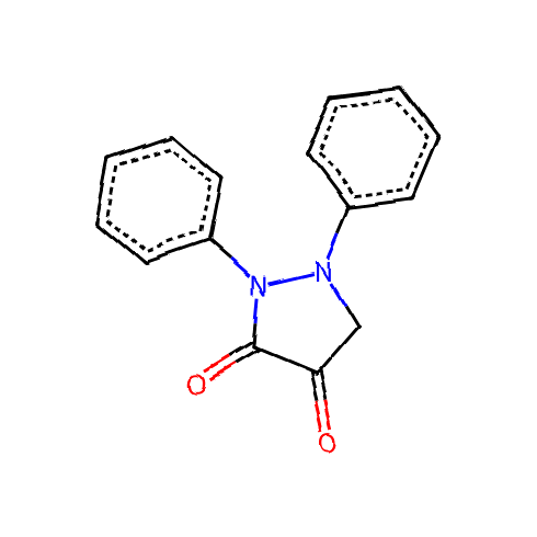 O=C1CN(c2ccccc2)N(c2ccccc2)C1=O